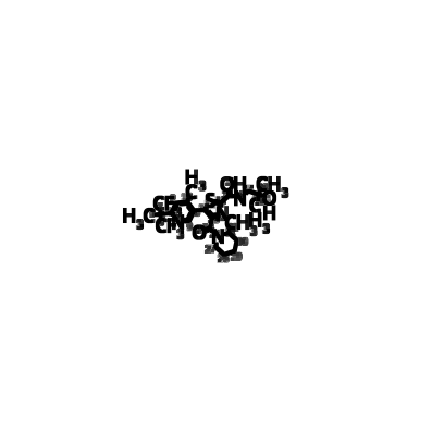 Cc1cc(C(C)(C(F)(F)F)C(F)(F)F)ncc1-c1sc(C(=O)NCC(C)(C)O)nc1C(=O)N1CCCC[C@@H]1C